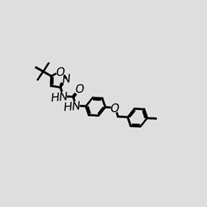 Cc1ccc(COc2ccc(NC(=O)Nc3cc(C(C)(C)C)on3)cc2)cc1